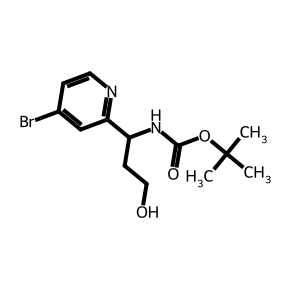 CC(C)(C)OC(=O)NC(CCO)c1cc(Br)ccn1